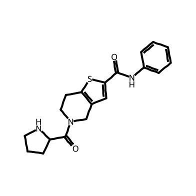 O=C(Nc1ccccc1)c1cc2c(s1)CCN(C(=O)C1CCCN1)C2